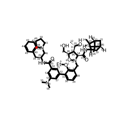 CCOc1c(CN2O[C@@H](CO)[C@@H]([C@H](C)O)[C@H]2C(=O)N[C@H]2C[C@H]3C[C@@H]([C@@H]2C)C3(C)C)cccc1-c1cc(C(=O)N[C@@H](CC2=CCCC=C2)CN2CCCC2)cc(N(C)C)c1